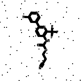 N#CCCOC(=O)Nc1ccc(-c2cncc(F)c2)nc1C(F)(F)F